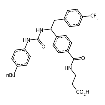 CCCCc1ccc(NC(=O)NC(Cc2ccc(C(F)(F)F)cc2)c2ccc(C(=O)NCCC(=O)O)cc2)cc1